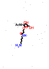 CC(=O)NC1C(O)CC(CO)OC1OCCCC(=O)NCCCCCCN